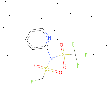 O=S(=O)(CF)N(c1ccccn1)S(=O)(=O)C(F)(F)F